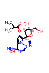 CC(C)C(=O)O[C@@H]1[C@H](O)[C@@H](CO)O[C@@]1(C#N)c1ccc2c(NO)ncnn12